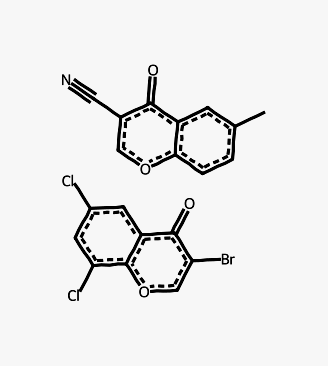 Cc1ccc2occ(C#N)c(=O)c2c1.O=c1c(Br)coc2c(Cl)cc(Cl)cc12